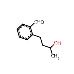 CC(O)CCc1ccccc1C=O